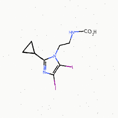 O=C(O)NCCn1c(C2CC2)nc(I)c1I